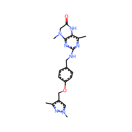 Cc1nn(C)cc1COc1ccc(CNc2nc(C)c3c(n2)N(C)CC(=O)N3)cc1